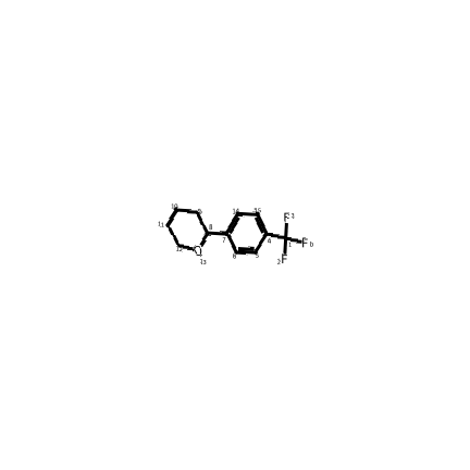 FC(F)(F)c1ccc(C2CCCCO2)cc1